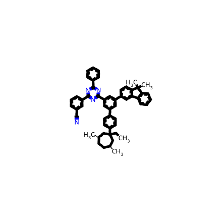 CCC1(c2ccc(-c3cc(-c4ccc5c(c4)-c4ccccc4C5(C)C)cc(-c4nc(-c5ccccc5)nc(-c5cccc(C#N)c5)n4)c3)cc2)C[C@H](C)CC[C@H](C)C1